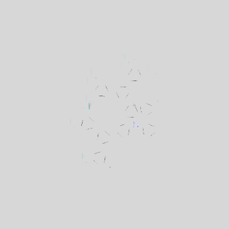 CC(C)(C)c1cc(-c2ccccc2-n2c3ccc(-c4cc(-c5cc(C(F)(F)F)cc(C(F)(F)F)c5)cc(-c5cc(C(F)(F)F)cc(C(F)(F)F)c5)c4)cc3c3cc(-c4cc(-c5cc(C(F)(F)F)cc(C(F)(F)F)c5)cc(-c5cc(C(F)(F)F)cc(C(F)(F)F)c5)c4)ccc32)cc(C(C)(C)C)c1